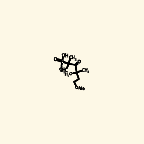 COCCC(C)(C)C(=O)C(C)(C)P(=O)(O)O